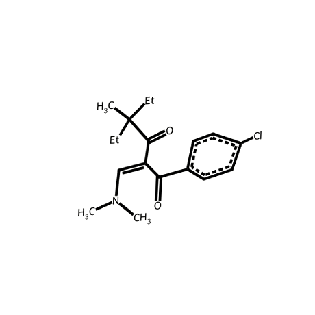 CCC(C)(CC)C(=O)C(=CN(C)C)C(=O)c1ccc(Cl)cc1